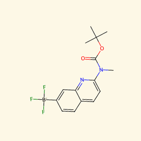 CN(C(=O)OC(C)(C)C)c1ccc2ccc([B-](F)(F)F)cc2n1